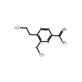 CCCc1ccc(C(=N)N)cc1CC